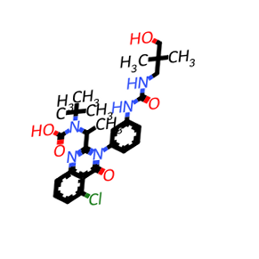 CC(c1nc2cccc(Cl)c2c(=O)n1-c1cccc(NC(=O)NCC(C)(C)CO)c1)N(C(=O)O)C(C)(C)C